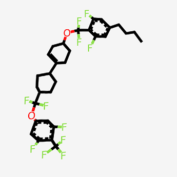 CCCCc1cc(F)c(C(F)(F)OC2CC=C(C3CCC(C(F)(F)Oc4cc(F)c(C(F)(F)F)c(F)c4)CC3)CC2)c(F)c1